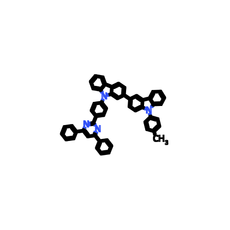 Cc1ccc(-n2c3ccccc3c3cc(-c4ccc5c6ccccc6n(-c6ccc(-c7nc(-c8ccccc8)cc(-c8ccccc8)n7)cc6)c5c4)ccc32)cc1